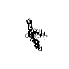 CC(C)(C)OC(=O)C12CN(S(=O)(=O)c3ccc4cc(Cl)ccc4c3)CC(=O)N1CC1(CCN(c3ccncc3)CC1)O2